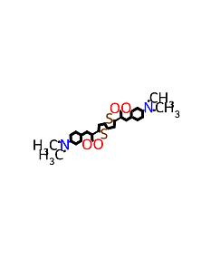 CCN(CC)c1ccc2cc(-c3cc4sc(-c5cc6ccc(N(CC)CC)cc6oc5=O)cc4s3)c(=O)oc2c1